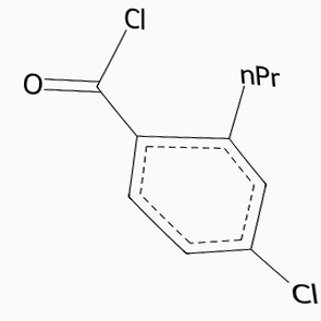 CCCc1cc(Cl)ccc1C(=O)Cl